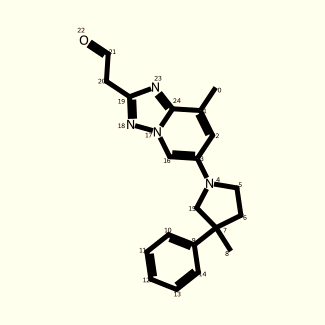 Cc1cc(N2CCC(C)(c3ccccc3)C2)cn2nc(CC=O)nc12